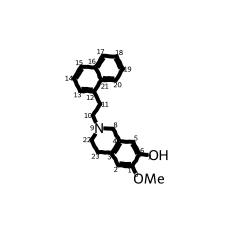 COc1cc2c(cc1O)CN(CCc1cccc3ccccc13)CC2